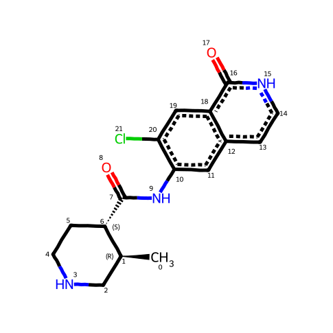 C[C@H]1CNCC[C@@H]1C(=O)Nc1cc2cc[nH]c(=O)c2cc1Cl